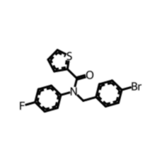 O=C(c1cccs1)N(Cc1ccc(Br)cc1)c1ccc(F)cc1